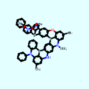 CSN1c2cc3c(cc2B2c4cc5c(cc4Oc4cc(C(C)(C)C)cc1c42)N(SC)c1cc(C(C)(C)C)cc2c1B5c1ccccc1N2c1ccccc1)B1c2ccccc2N(c2ccccc2)c2cc(C(C)(C)C)cc(c21)N3